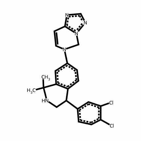 CC1(C)NCC(c2ccc(Cl)c(Cl)c2)c2ccc(N3C=Cc4ncnn4C3)cc21